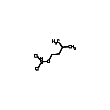 CC(C)CCO[SiH](Cl)Cl